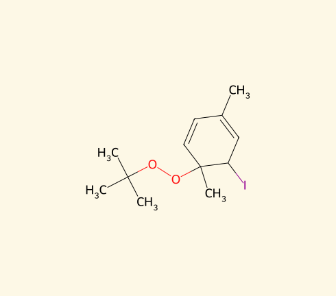 CC1=CC(I)C(C)(OOC(C)(C)C)C=C1